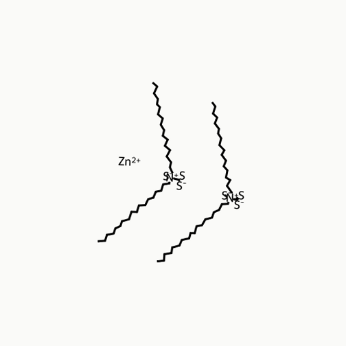 CCCCCCCCCCCCCCCCCC[N+]([S-])(CCCCCCCCCCCCCCCCCC)C(=S)[S-].CCCCCCCCCCCCCCCCCC[N+]([S-])(CCCCCCCCCCCCCCCCCC)C(=S)[S-].[Zn+2]